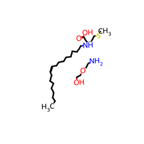 CCCCCCCC/C=C\CCCCCCCCN[C@@H](CCSC)C(=O)O.NCCOCCO